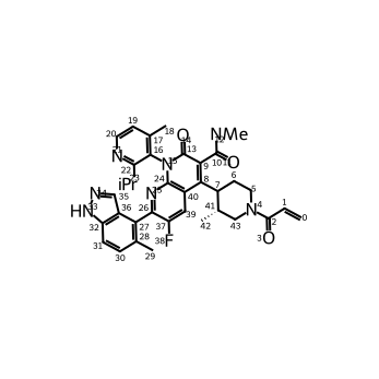 C=CC(=O)N1CCC(c2c(C(=O)NC)c(=O)n(-c3c(C)ccnc3C(C)C)c3nc(-c4c(C)ccc5[nH]ncc45)c(F)cc23)[C@@H](C)C1